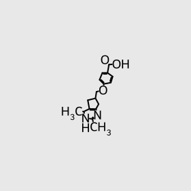 CC1=NC2=C(CC(COc3ccc(C(=O)O)cc3)C2)C(C)N1